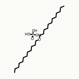 CCCCCCCCCCCCOCCCCCCCCCCCC.O=P(O)(O)O